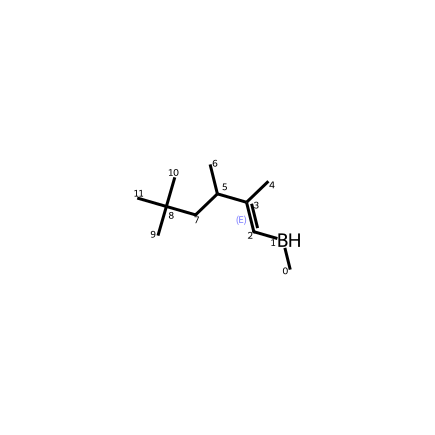 CB/C=C(\C)C(C)CC(C)(C)C